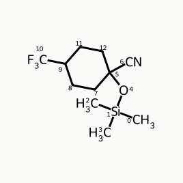 C[Si](C)(C)OC1(C#N)CCC(C(F)(F)F)CC1